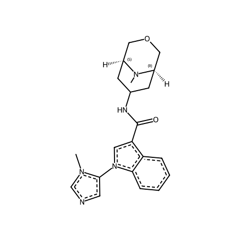 CN1[C@@H]2COC[C@H]1CC(NC(=O)c1cn(-c3cncn3C)c3ccccc13)C2